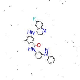 Cc1cc(Nc2ccnc3ccc(F)cc23)cc(C(=O)Nc2cccc(Nc3ccccc3)c2)c1